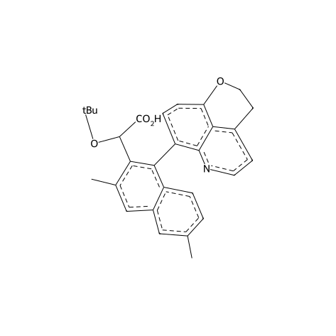 Cc1ccc2c(-c3ccc4c5c(ccnc35)CCO4)c(C(OC(C)(C)C)C(=O)O)c(C)cc2c1